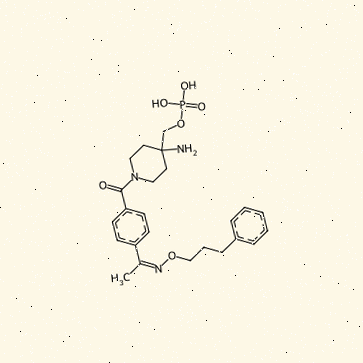 CC(=NOCCCc1ccccc1)c1ccc(C(=O)N2CCC(N)(COP(=O)(O)O)CC2)cc1